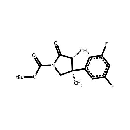 C[C@H]1C(=O)N(C(=O)OC(C)(C)C)C[C@]1(C)c1cc(F)cc(F)c1